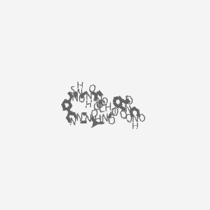 CS(=O)(=O)n1ccc(C(=O)NCC(=O)Nc2nc(-c3cccc(-c4ccnc(N5CCN(C(=O)C6CC6CNC(=O)COc6cccc7c6C(=O)N(C6CCC(=O)NC6=O)C7=O)CC5)c4)c3)cs2)c1